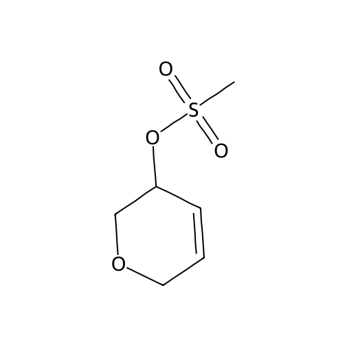 CS(=O)(=O)OC1C=CCOC1